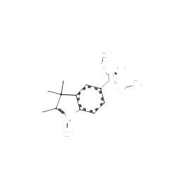 CCOP(=O)(OCC)c1ccc2c(c1)C(C)(C)C(C)=[N+]2CC